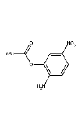 CCCCC(=O)Oc1cc([N+](=O)[O-])ccc1N